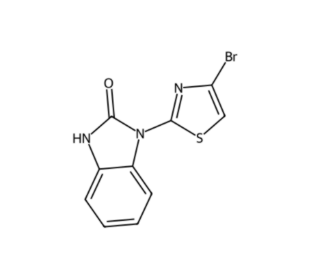 O=c1[nH]c2ccccc2n1-c1nc(Br)cs1